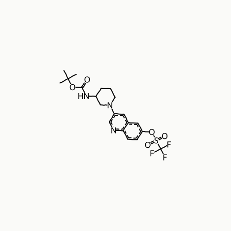 CC(C)(C)OC(=O)NC1CCCN(c2cnc3ccc(OS(=O)(=O)C(F)(F)F)cc3c2)C1